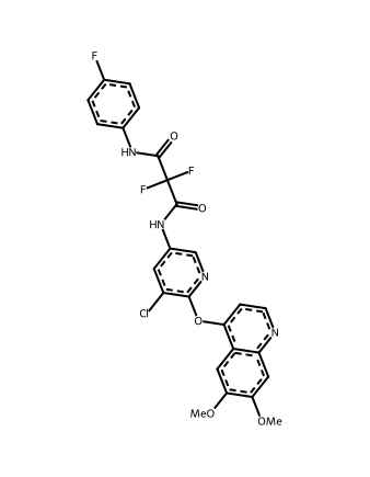 COc1cc2nccc(Oc3ncc(NC(=O)C(F)(F)C(=O)Nc4ccc(F)cc4)cc3Cl)c2cc1OC